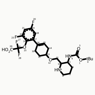 CC(C)(C)OC(=O)NC1CCCNC1COC1CC=C(c2cc(F)cc(F)c2OC(F)(F)C(=O)O)CC1